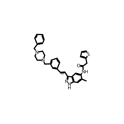 Cc1cc2[nH]nc(/C=C/c3cccc(CN4CCN(Cc5ccccc5)CC4)c3)c2cc1NC(=O)Cc1cccs1